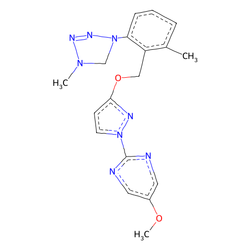 COc1cnc(-n2ccc(OCc3c(C)cccc3N3CN(C)N=N3)n2)nc1